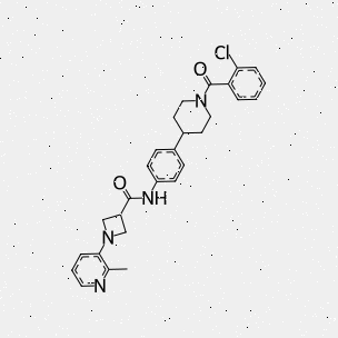 Cc1ncccc1N1CC(C(=O)Nc2ccc(C3CCN(C(=O)c4ccccc4Cl)CC3)cc2)C1